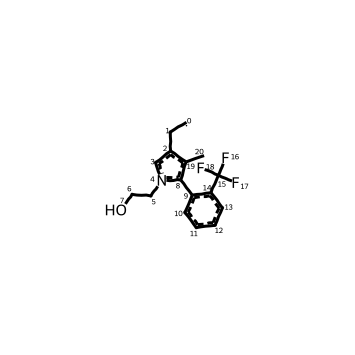 [CH2]Cc1cn(CCO)c(-c2ccccc2C(F)(F)F)c1C